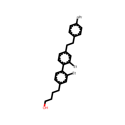 CCCc1ccc(CCc2ccc(-c3ccc(CCCCO)cc3CC)c(CC)c2)cc1